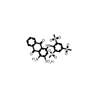 CS(=O)(=O)c1cc(S(C)(=O)=O)c(Nc2cc(S(=O)(=O)O)c(N)c3c2C(=O)c2ccccc2C3=O)c(S(C)(=O)=O)c1